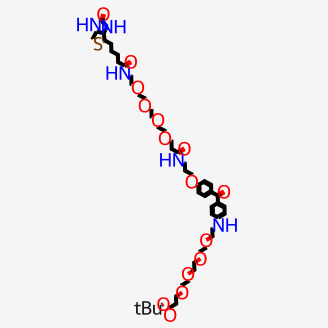 CC(C)(C)OC(=O)CCOCCOCCOCCOCCNc1ccc(C(=O)c2ccc(OCCCNC(=O)CCOCCOCCOCCOCCNC(=O)CCCCC3SCC4NC(=O)NC43)cc2)cc1